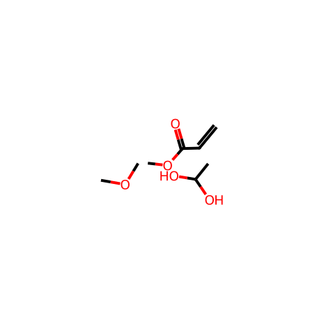 C=CC(=O)OC.CC(O)O.COC